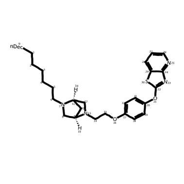 CCCCCCCCCCCCCCCCN1C[C@H]2C[C@@H]1CN2CCOc1ccc(Oc2nc3ncccc3s2)cc1